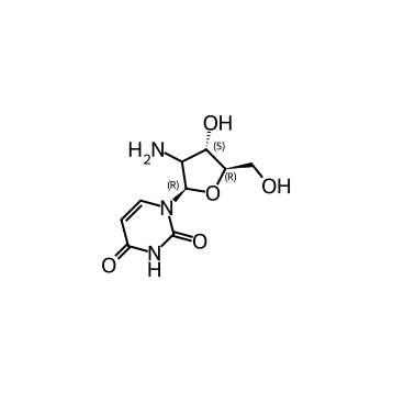 NC1[C@H](n2ccc(=O)[nH]c2=O)O[C@H](CO)[C@H]1O